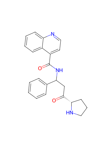 O=C(NC(CC(=O)[C@@H]1CCCN1)c1ccccc1)c1ccnc2ccccc12